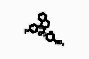 O=C([C@H]1CCC([N+](=O)[O-])=CO1)N1CCc2ccccc2[C@@H]1c1ccc(F)cc1